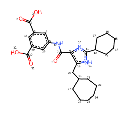 O=C(O)c1cc(NC(=O)c2nc(C3CCCCC3)[nH]c2CC2CCCCCC2)cc(C(=O)O)c1